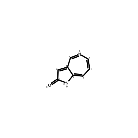 O=c1cc2cncccc-2[nH]1